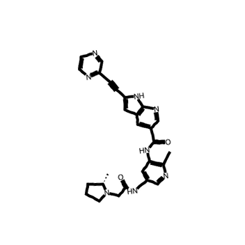 Cc1ncc(NC(=O)CN2CCC[C@@H]2C)cc1NC(=O)c1cnc2[nH]c(C#Cc3cnccn3)cc2c1